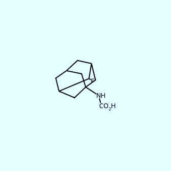 O=C(O)NC12CC3CC(C1)C(F)C(C3)C2